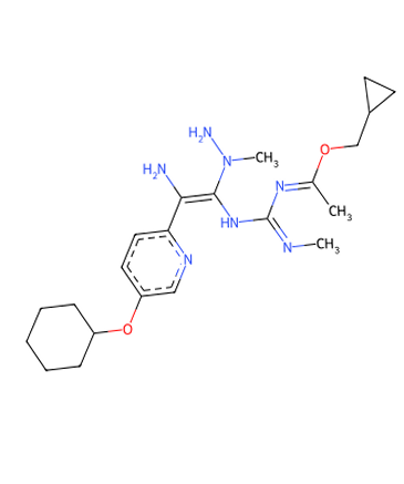 C/N=C(\N=C(/C)OCC1CC1)N/C(=C(/N)c1ccc(OC2CCCCC2)cn1)N(C)N